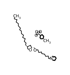 CCCCCCCCCCCCCCCC[C@@H]1CO[C@@H](COCCCCCCCC[n+]2ccccc2)C1.Cc1ccc(S(=O)(=O)[O-])cc1